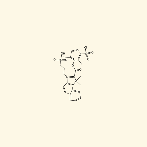 Cc1ccc(S(=O)(=O)Cl)c(C)c1OC(=O)C1=[N+](CCCS(=O)(=O)O)c2ccc3ccccc3c2C1(C)C